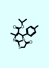 CC1=C(C(=O)OC(C)C)C(c2ccc(C)cc2)N2C(=O)CSC2=N1